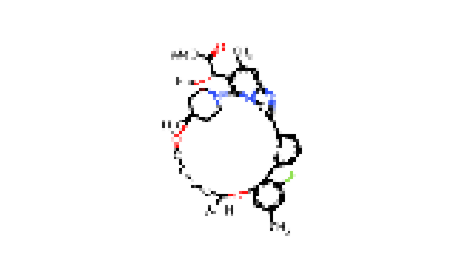 COC(=O)[C@@H](OC(C)(C)C)c1c(C)cc2nc3cn2c1N1CCC(C)(CC1)OCCCC[C@H](C)Oc1cc(C)cc(F)c1-c1cccc-3c1